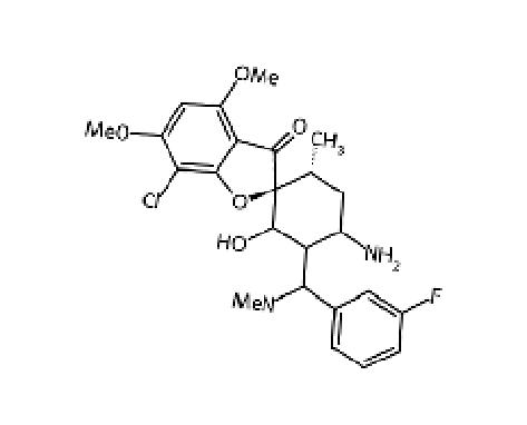 CNC(c1cccc(F)c1)C1C(N)C[C@@H](C)[C@]2(Oc3c(Cl)c(OC)cc(OC)c3C2=O)C1O